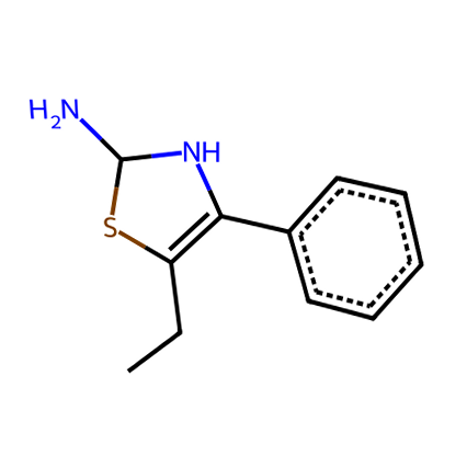 CCC1=C(c2ccccc2)NC(N)S1